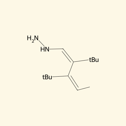 C/C=C(\C(=C/NN)C(C)(C)C)C(C)(C)C